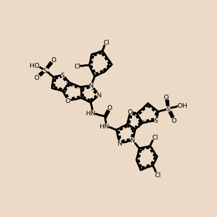 O=C(Nc1nn(-c2ccc(Cl)cc2Cl)c2c1oc1cc(S(=O)(=O)O)sc12)Nc1nn(-c2ccc(Cl)cc2Cl)c2c1oc1cc(S(=O)(=O)O)sc12